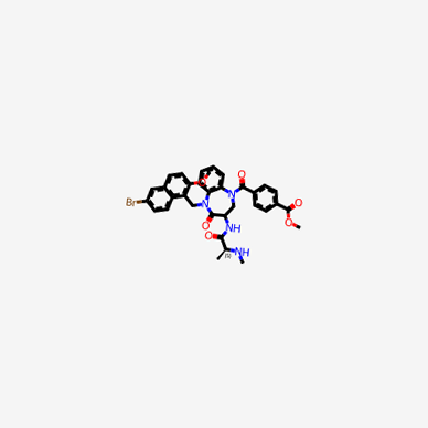 CN[C@@H](C)C(=O)NC1CN(C(=O)c2ccc(C(=O)OC)cc2)c2ccccc2N(Cc2c(OC)ccc3cc(Br)ccc23)C1=O